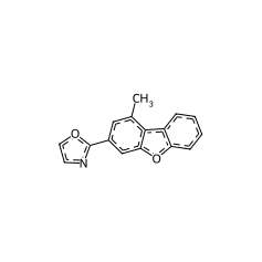 Cc1cc(-c2ncco2)cc2oc3ccccc3c12